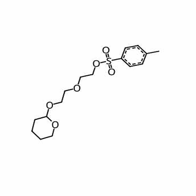 Cc1ccc(S(=O)(=O)OCCOCCOC2CCCCO2)cc1